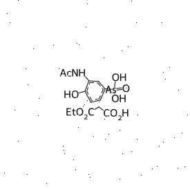 CC(=O)Nc1cc([As](=O)(O)O)ccc1O.CCOC(=O)CC(=O)O